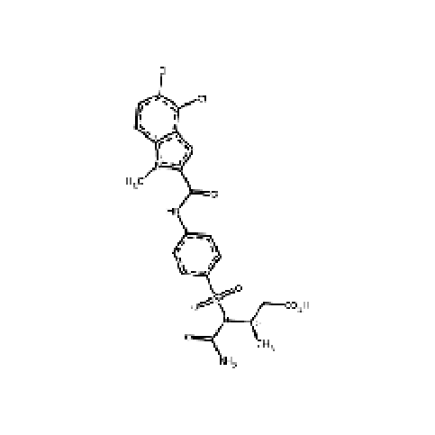 C[C@H](CC(=O)O)N(C(N)=O)S(=O)(=O)c1ccc(NC(=O)c2cc3c(Cl)c(Cl)ccc3n2C)cc1